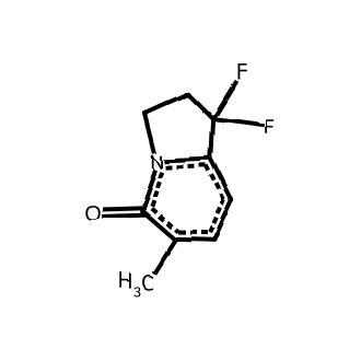 Cc1ccc2n(c1=O)CCC2(F)F